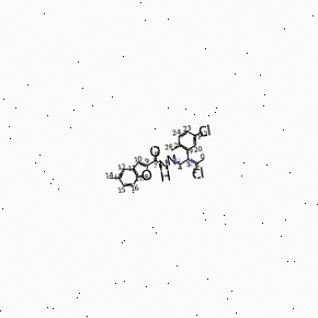 C/C(Cl)=C(/C=N/NC(=O)c1cc2cc(C)ccc2o1)c1cc(Cl)ccc1C